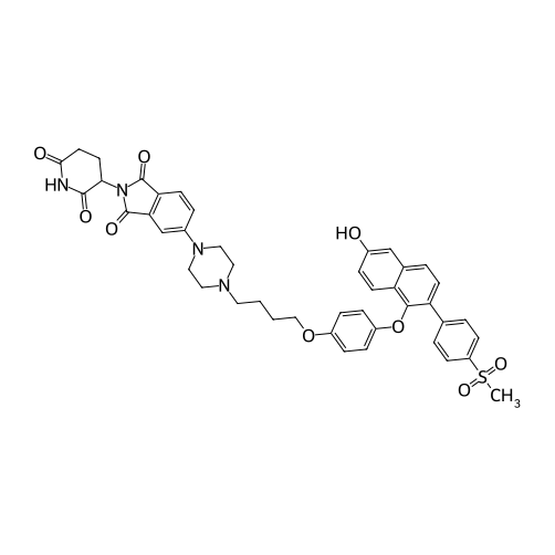 CS(=O)(=O)c1ccc(-c2ccc3cc(O)ccc3c2Oc2ccc(OCCCCN3CCN(c4ccc5c(c4)C(=O)N(C4CCC(=O)NC4=O)C5=O)CC3)cc2)cc1